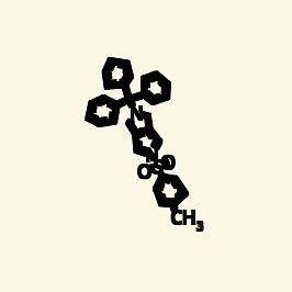 Cc1ccc(S(=O)(=O)n2cc3c(c2)CN(C(c2ccccc2)(c2ccccc2)c2ccccc2)C3)cc1